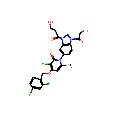 Cc1cc(OCc2ccc(F)cc2F)c(Cl)c(=O)n1-c1ccc2c(c1)N(C(=O)CCO)CN2C(=O)CO